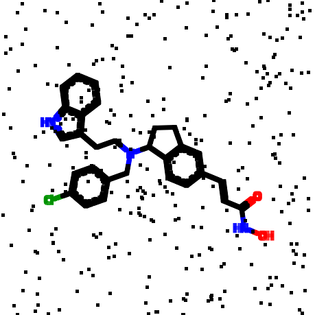 O=C(C=Cc1ccc2c(c1)CCC2N(CCc1c[nH]c2ccccc12)Cc1ccc(Cl)cc1)NO